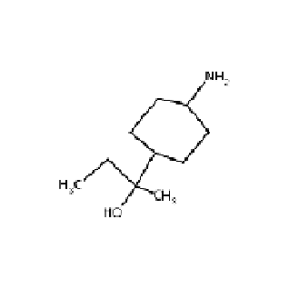 CCC(C)(O)C1CCC(N)CC1